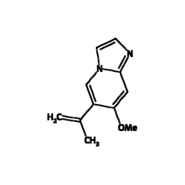 C=C(C)c1cn2ccnc2cc1OC